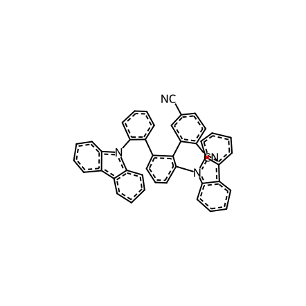 N#Cc1ccc(C#N)c(-c2c(-c3ccccc3-n3c4ccccc4c4ccccc43)cccc2-n2c3ccccc3c3ccccc32)c1